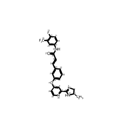 C[C@@H]1CN=C(c2cc(Oc3cccc(/C=C/C(=O)Nc4ccc(F)c(C(F)(F)F)c4)c3)ccn2)N1